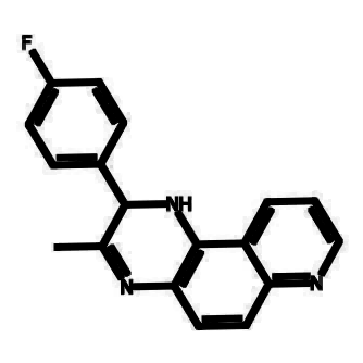 CC1=Nc2ccc3ncccc3c2NC1c1ccc(F)cc1